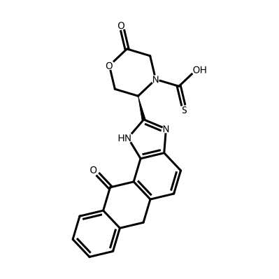 O=C1CN(C(O)=S)[C@@H](c2nc3ccc4c(c3[nH]2)C(=O)c2ccccc2C4)CO1